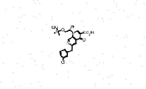 CCOC(=O)c1cn([C@H](CO[Si](C)(C)C(C)(C)C)C(C)C)c2cnc(Cc3cccc(Cl)c3)cc2c1=O